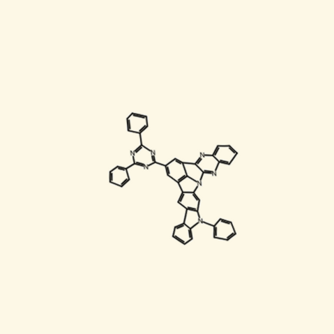 c1ccc(-c2nc(-c3ccccc3)nc(-c3cc4c5cc6c7ccccc7n(-c7ccccc7)c6cc5n5c6nc7ccccc7nc6c(c3)c45)n2)cc1